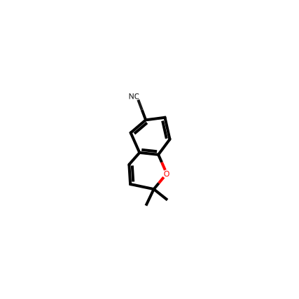 CC1(C)C=Cc2cc(C#N)ccc2O1